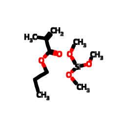 C=C(C)C(=O)OCCC.CO[Si](OC)OC